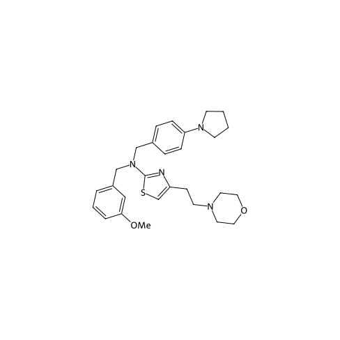 COc1cccc(CN(Cc2ccc(N3CCCC3)cc2)c2nc(CCN3CCOCC3)cs2)c1